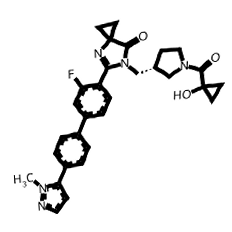 Cn1nccc1-c1ccc(-c2ccc(C3=NC4(CC4)C(=O)N3C[C@@H]3CCN(C(=O)C4(O)CC4)C3)c(F)c2)cc1